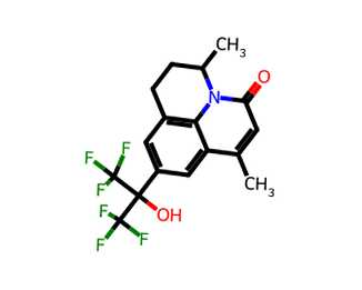 Cc1cc(=O)n2c3c(cc(C(O)(C(F)(F)F)C(F)(F)F)cc13)CCC2C